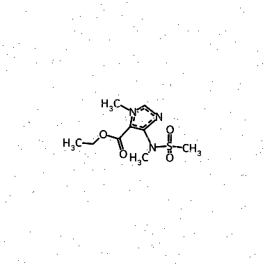 CCOC(=O)c1c(N(C)S(C)(=O)=O)ncn1C